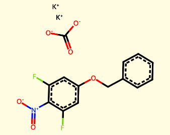 O=C([O-])[O-].O=[N+]([O-])c1c(F)cc(OCc2ccccc2)cc1F.[K+].[K+]